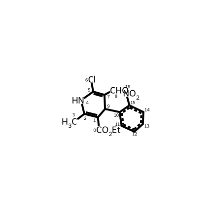 CCOC(=O)C1=C(C)NC(Cl)=C(C=O)C1c1ccccc1[N+](=O)[O-]